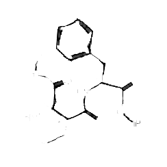 CCC[C@H](C(=O)NO)[C@@H](CC(C)C)C(=O)N[C@@H](Cc1ccccc1)C(=O)OC(C)C